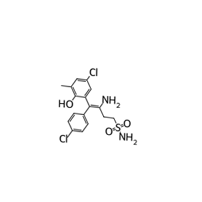 Cc1cc(Cl)cc(C(=C(N)CCS(N)(=O)=O)c2ccc(Cl)cc2)c1O